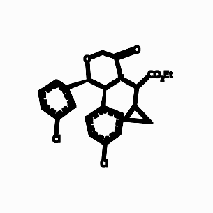 CCOC(=O)C(C1CC1)N1C(=O)CO[C@H](c2cccc(Cl)c2)[C@@H]1c1ccc(Cl)cc1